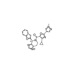 Cn1cc(-c2nc(C3CC3)c(C(=O)N3CCc4[nH]cnc4[C@H]3c3cc4ccccc4o3)o2)cn1